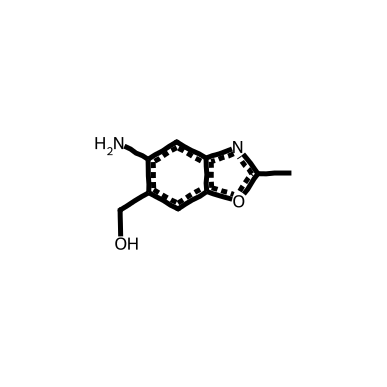 Cc1nc2cc(N)c(CO)cc2o1